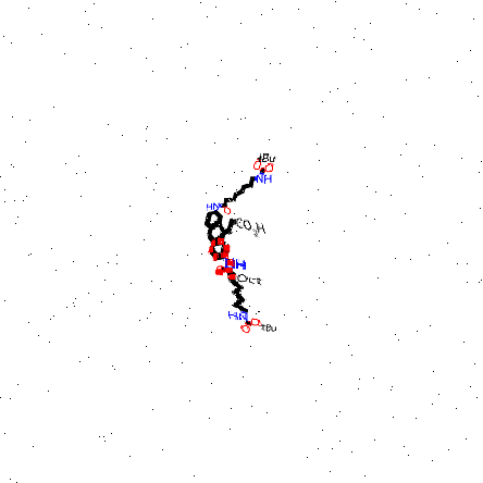 CCCCCCCCC(=O)Nc1ccc2c(c1)C1(CCC(=O)O)c3cc(NC(=O)CCCCCCCNC(=O)OC(C)(C)C)ccc3C2c2ccc(NC(=O)CCCCCCCNC(=O)OC(C)(C)C)cc21